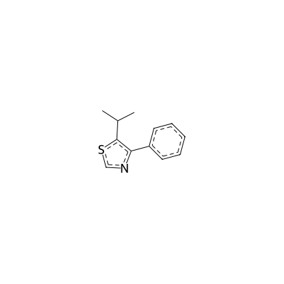 CC(C)c1scnc1-c1ccccc1